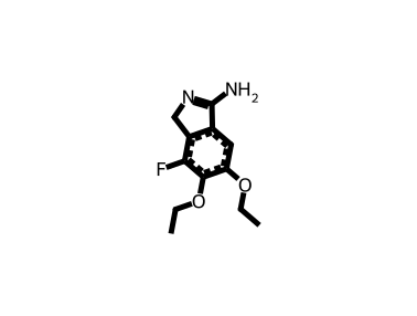 CCOc1cc2c(c(F)c1OCC)CN=C2N